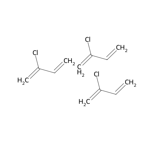 C=CC(=C)Cl.C=CC(=C)Cl.C=CC(=C)Cl